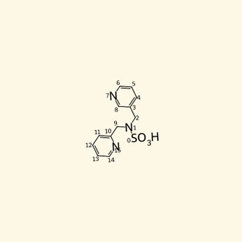 O=S(=O)(O)N(Cc1cccnc1)Cc1ccccn1